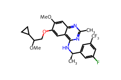 COc1cc2nc(C)nc(N[C@H](C)c3cc(F)cc(C(F)(F)F)c3)c2cc1OCC(OC)C1CC1